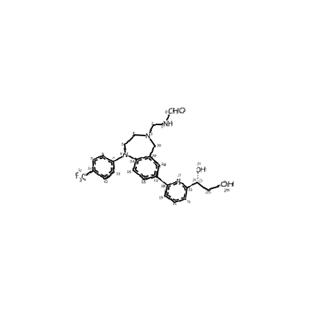 O=CNCN1CCN(c2ccc(C(F)(F)F)cc2)c2ccc(-c3cccc([C@H](O)CO)n3)cc2C1